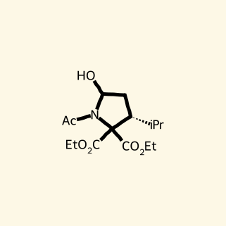 CCOC(=O)C1(C(=O)OCC)[C@@H](C(C)C)CC(O)N1C(C)=O